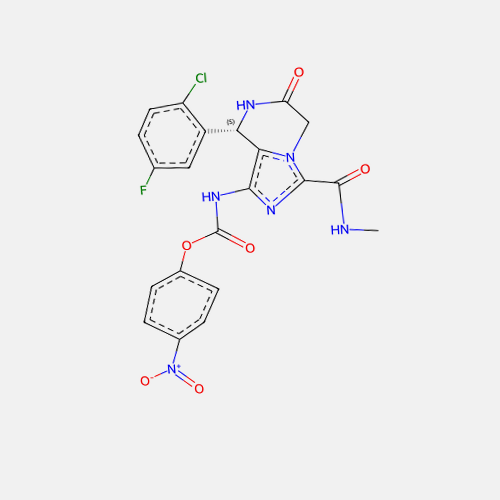 CNC(=O)c1nc(NC(=O)Oc2ccc([N+](=O)[O-])cc2)c2n1CC(=O)N[C@H]2c1cc(F)ccc1Cl